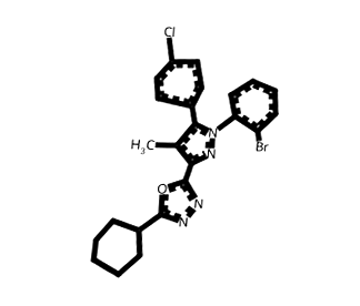 Cc1c(-c2nnc(C3CCCCC3)o2)nn(-c2ccccc2Br)c1-c1ccc(Cl)cc1